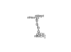 CCCCCCCC(CCCCCC)C(=O)COCCOCCOCCOCC(=O)C(C)(C)CCCC